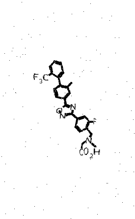 Cc1cc(-c2nc(-c3ccc(CN(C)CC(=O)O)c(F)c3)no2)ccc1-c1ccccc1C(F)(F)F